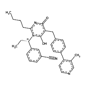 CCCCc1nc(=O)c(Cc2ccc(-c3ccncc3C)cc2)c(O)n1[C@@H](CC)c1cccc(C#N)c1